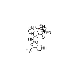 CC(OC(=O)NC(=NC(CC(C)(C)C)C(=O)N(C#N)C1CCCC1)N1CCOCC1)C1CCNCC1